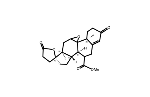 COC(=O)C1CC2=CC(=O)CC[C@]2(C)C23OC2C[C@@]2(C)[C@@H](CC[C@@]24CCC(=O)O4)[C@H]13